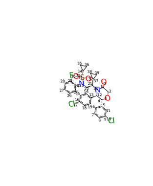 O=C1CO[C@H](c2cccc(Cl)c2)[C@@H](c2ccc(Cl)cc2)N1[C@@H](CN(c1ccccc1F)S(=O)(=O)C1CC1)C1CC1